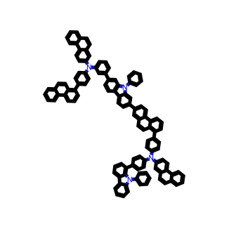 c1ccc(-n2c3cc(-c4cccc(N(c5ccc(-c6cccc7c6ccc6ccccc67)cc5)c5ccc6c(ccc7ccccc76)c5)c4)ccc3c3ccc(-c4ccc5c(ccc6c(-c7ccc(N(c8ccc(-c9cccc%10c%11ccccc%11n(-c%11ccccc%11)c9%10)cc8)c8ccc9c(ccc%10ccccc%109)c8)cc7)cccc65)c4)cc32)cc1